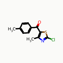 Cc1ccc(C(=O)c2sc(Cl)nc2C)cc1